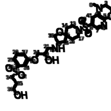 CN1CCOc2ncc(S(=O)(=O)N3CCC4(CC3)C[C@@H](NC[C@H](O)COc3cccc(S(=O)(=O)CCCO)c3)CO4)cc21